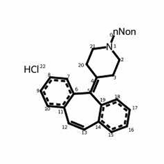 CCCCCCCCCN1CCC(=C2c3ccccc3C=Cc3ccccc32)CC1.Cl